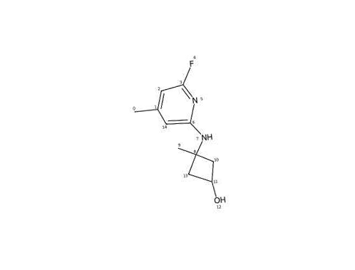 Cc1cc(F)nc(NC2(C)CC(O)C2)c1